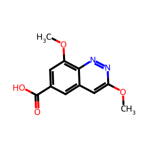 COc1cc2cc(C(=O)O)cc(OC)c2nn1